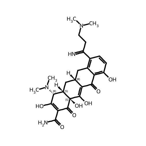 CN(C)CCC(=N)c1ccc(O)c2c1C[C@H]1C[C@H]3[C@@H](N(C)C)C(O)=C(C(N)=O)C(=O)[C@@]3(O)C(O)=C1C2=O